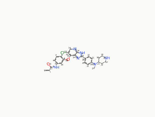 C=CC(=O)Nc1cccc(Oc2c(Cl)cnc3[nH]c(-c4ccc(N(C)C5CCNCC5)cc4)nc23)c1